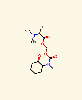 CCCN(CCC)C(C(=O)OCOC(=O)N(C)C1CCCCC1=O)C(C)C